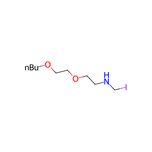 CCCCOCCOCCNCI